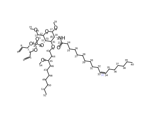 C=CCOP(=O)(OCC=C)O[C@@H]1C(COC)OC(OC)[C@H](NC(=O)CCCCCCCCC/C=C\CCCCCC)C1OCCC(CCCCCCC)OC